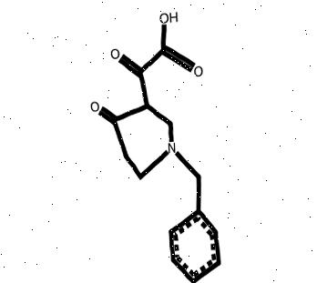 O=C(O)C(=O)C1CN(Cc2ccccc2)CCC1=O